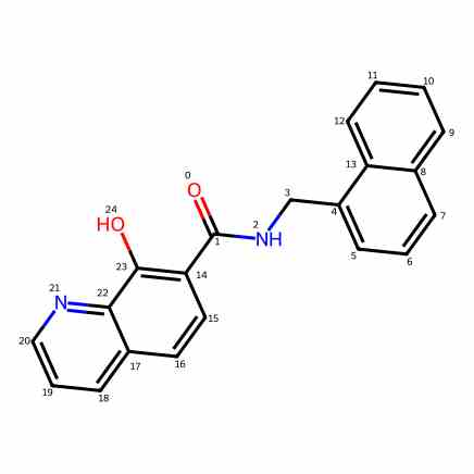 O=C(NCc1cccc2ccccc12)c1ccc2cccnc2c1O